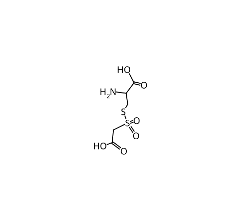 NC(CSS(=O)(=O)CC(=O)O)C(=O)O